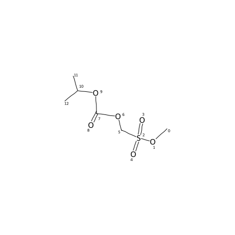 COS(=O)(=O)COC(=O)OC(C)C